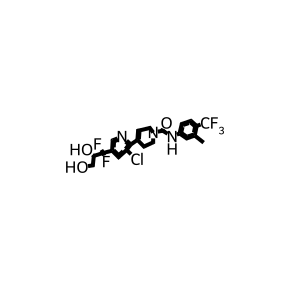 Cc1cc(NC(=O)N2CC=C(c3ncc(C(F)(F)C(O)CO)cc3Cl)CC2)ccc1C(F)(F)F